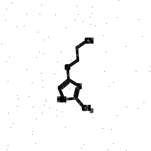 Cc1nc(OCCC#N)c[nH]1